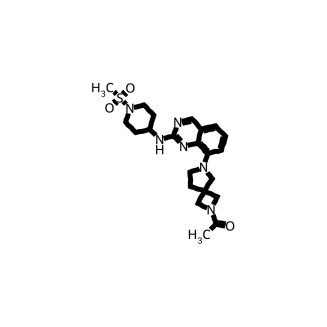 CC(=O)N1CC2(CCN(c3cccc4cnc(NC5CCN(S(C)(=O)=O)CC5)nc34)C2)C1